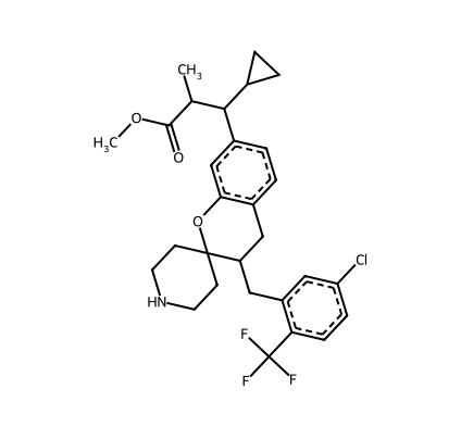 COC(=O)C(C)C(c1ccc2c(c1)OC1(CCNCC1)C(Cc1cc(Cl)ccc1C(F)(F)F)C2)C1CC1